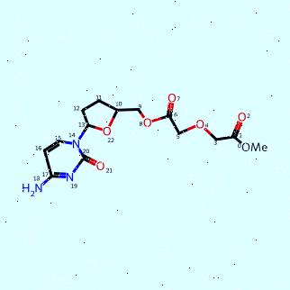 COC(=O)COCC(=O)OCC1CCC(n2ccc(N)nc2=O)O1